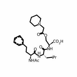 CC(=O)N[C@@H](CCc1ccccc1)C(=O)N[C@@H](CC(C)C)C(=O)N[C@@H](COC(=O)CN1CCCCC1)C(=O)O